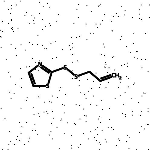 C=CCSSc1nccs1